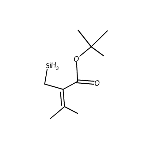 CC(C)=C(C[SiH3])C(=O)OC(C)(C)C